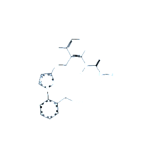 C/C=C(C)\C(COc1ccn(-c2ccccc2COC)n1)=C(/CC)N(N)C(=O)NN